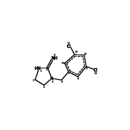 N=C1NCCN1Cc1cc(Cl)cc(Cl)c1